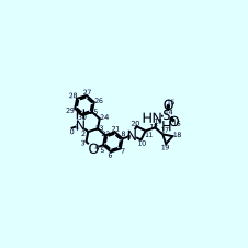 CNC1COc2ccc(N3CC(C(N[SH](=O)=O)C4CC4)C3)cc2C1Cc1ccccc1